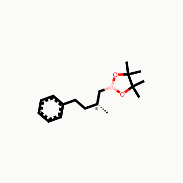 C[C@H](CCc1ccccc1)CB1OC(C)(C)C(C)(C)O1